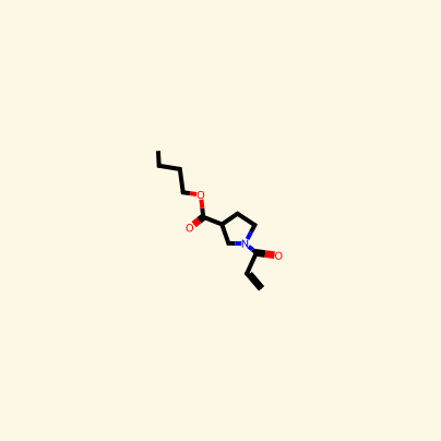 C=CC(=O)N1CCC(C(=O)OCCCC)C1